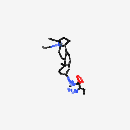 CCC(N)C(=O)N(C)C1CCC2(C)C(=CCC3C2CCC24CN(C)C(C)C2CCC34)C1